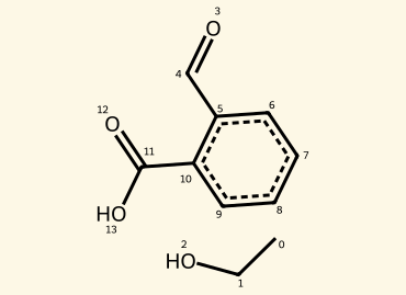 CCO.O=Cc1ccccc1C(=O)O